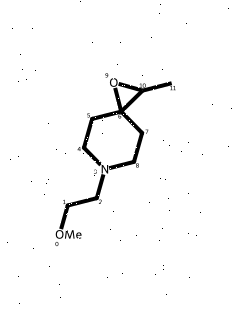 COCCN1CCC2(CC1)OC2C